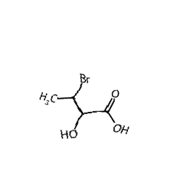 CC(Br)C(O)C(=O)O